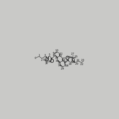 CCCCN(CC(=O)c1cccc2cc3c(C(=O)CN(CCCC)C(C)(C)C)cccc3cc12)C(C)(C)C